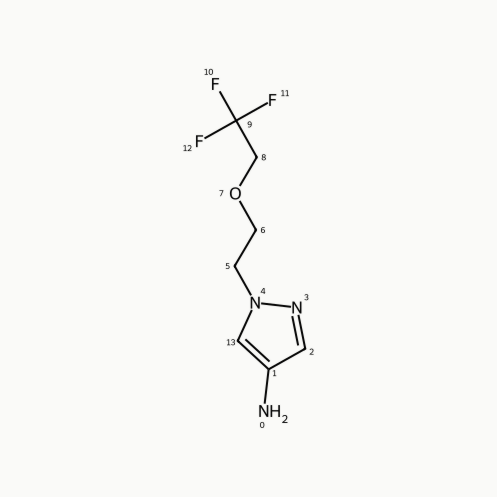 Nc1cnn(CCOCC(F)(F)F)c1